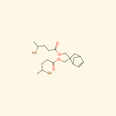 CC(S)CCC(=O)OCC1(COC(=O)CCC(C)S)CC2C=CC1C2